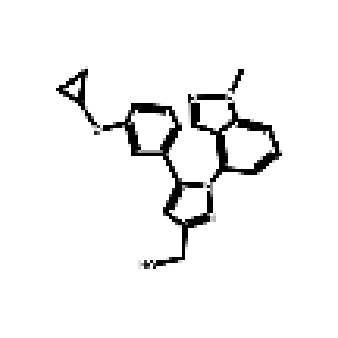 Cn1ncc2c(-n3nc(CO)cc3-c3cccc(OC4CC4)c3)cccc21